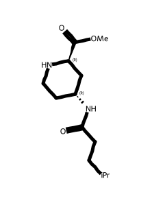 COC(=O)[C@H]1C[C@H](NC(=O)CCC(C)C)CCN1